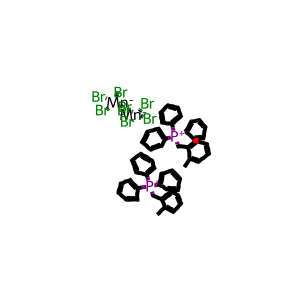 Cc1ccccc1C[P+](c1ccccc1)(c1ccccc1)c1ccccc1.Cc1ccccc1C[P+](c1ccccc1)(c1ccccc1)c1ccccc1.[Br][Mn-]([Br])([Br])[Br].[Br][Mn-]([Br])([Br])[Br]